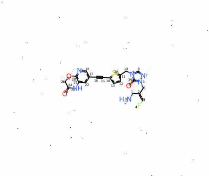 NC/C(=C\F)Cn1ncn(Cc2ccc(C#Cc3cnc4c(c3)NC(=O)CO4)s2)c1=O